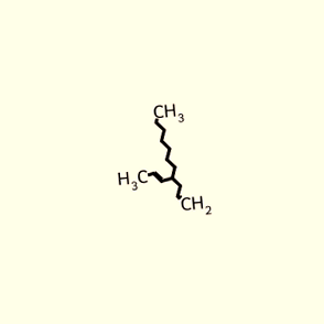 C=CCC(C=CC)CCCCCCC